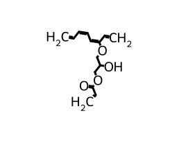 C=C/C=C\C=C(/C=C)OCC(O)COC(=O)C=C